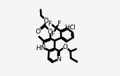 CCOC(=O)OC1=C(C)Nc2ccnc(OC(C)CC)c2C1c1ccccc1C(F)(F)F.Cl